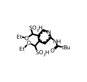 CCOC(c1cnc(NC(=O)C(C)(C)C)cc1C(OCC)S(=O)(=O)O)S(=O)(=O)O